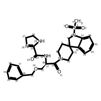 CS(=O)(=O)N1CC2(CCN(C(=O)[C@@H](COCc3ccccc3)NC(=O)C3=NCCN3)CC2)c2ccccc21